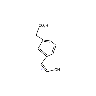 O=C(O)Cc1cccc(/C=C\O)c1